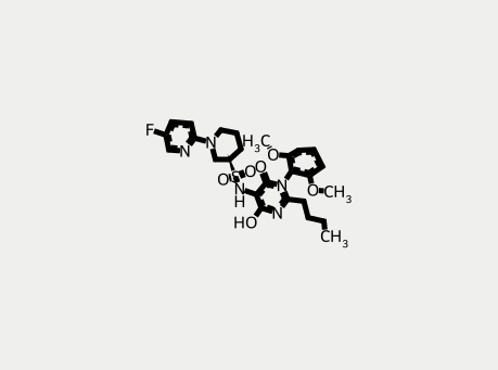 CCCCc1nc(O)c(NS(=O)(=O)[C@@H]2CCCN(c3ccc(F)cn3)C2)c(=O)n1-c1c(OC)cccc1OC